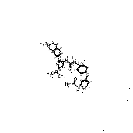 CC(=O)Nc1cc(Oc2ccc(NC(=O)Nc3cc(C(C)C)nn3-c3ccc4c(c3)CN(C)CC4)cc2)ccn1